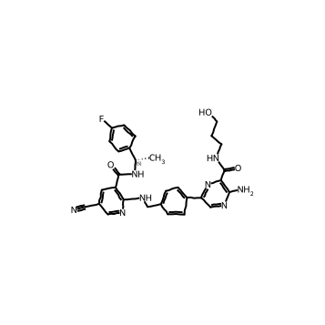 C[C@H](NC(=O)c1cc(C#N)cnc1NCc1ccc(-c2cnc(N)c(C(=O)NCCCO)n2)cc1)c1ccc(F)cc1